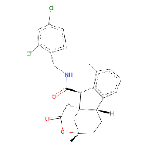 Cc1cccc2c1[C@H](C(=O)NCc1ccc(Cl)cc1Cl)[C@@]13CC(=O)O[C@@](C)(CC[C@@H]21)C3